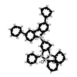 O=P1(c2ccccc2)N(c2ccccc2)c2ccc(-n3c4ccc(-c5ccccc5)cc4c4cc(-c5ccccc5)ccc43)cc2N1c1ccccc1